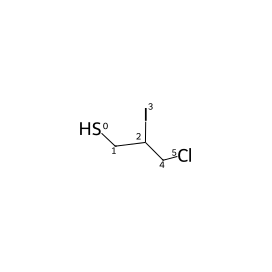 SCC(I)CCl